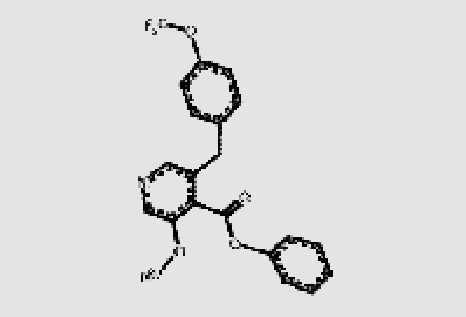 CCCCOc1cncc(Cc2ccc(OC(F)(F)F)cc2)c1C(=O)Oc1ccccc1